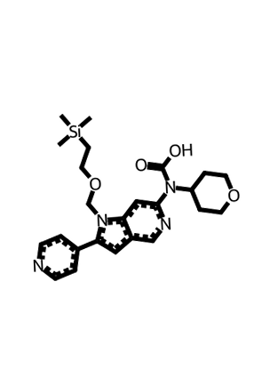 C[Si](C)(C)CCOCn1c(-c2ccncc2)cc2cnc(N(C(=O)O)C3CCOCC3)cc21